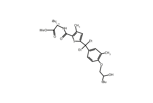 CCC(C)[C@H](NC(=O)c1sc(C(CC)(CC)c2ccc(OCC(O)C(C)(C)C)c(C)c2)cc1C)C(=O)OC